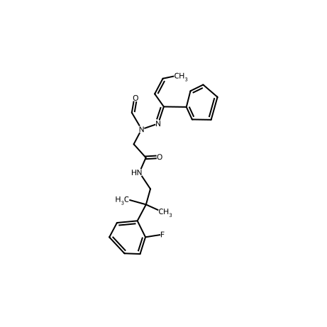 C/C=C\C(=N/N(C=O)CC(=O)NCC(C)(C)c1ccccc1F)c1ccccc1